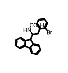 O=C(O)NC(Cc1ccccc1Br)C1c2ccccc2-c2ccccc21